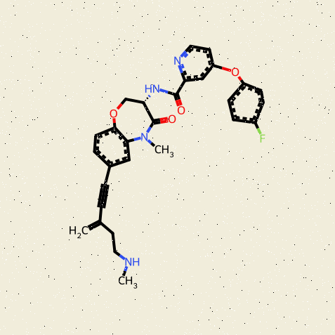 C=C(C#Cc1ccc2c(c1)N(C)C(=O)[C@@H](NC(=O)c1cc(Oc3ccc(F)cc3)ccn1)CO2)CCNC